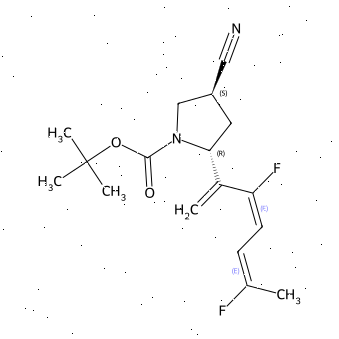 C=C(/C(F)=C\C=C(/C)F)[C@H]1C[C@H](C#N)CN1C(=O)OC(C)(C)C